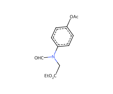 CCOC(=O)CN(C=O)c1ccc(OC(C)=O)cc1